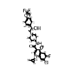 O=C(NN1CCN(C[C@H](O)c2ccc(OC(F)(F)F)cc2)CC1)c1cn(C2CC2)c2cc(Cl)c(F)cc2c1=O